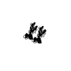 CCOC(=O)CCC(NC(=O)c1cc(OC2(C(=O)O)CCC2)c2ccc(C)cc2n1)C(=O)N1CCN(C(=O)OCC)CC1.CCOC(=O)N1CCN(C(=O)C(CCC(=O)OC(C)C)NC(=O)c2cc(OC3(C(=O)O)CCC3)c3ccc(C)cc3n2)CC1